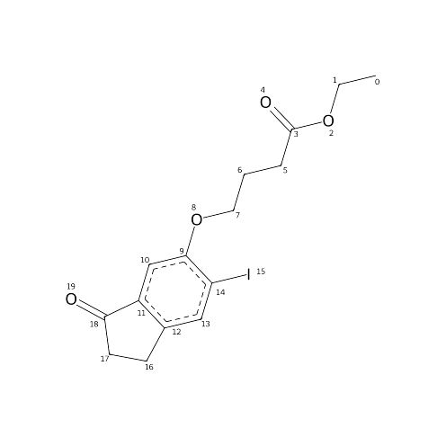 CCOC(=O)CCCOc1cc2c(cc1I)CCC2=O